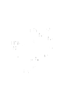 CCCn1c(=O)n(C)c(=O)c2c(C(=O)N3C[C@](C)(O)CO3)c(Cc3c(C)n[nH]c3C)sc21